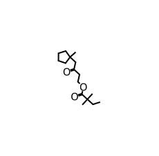 CCC(C)(C)C(=O)OCCC(=O)CC1(C)CCCC1